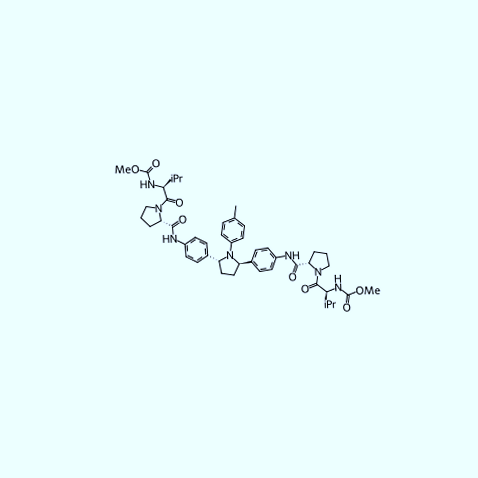 COC(=O)N[C@H](C(=O)N1CCC[C@H]1C(=O)Nc1ccc([C@H]2CC[C@H](c3ccc(NC(=O)[C@@H]4CCCN4C(=O)[C@@H](NC(=O)OC)C(C)C)cc3)N2c2ccc(C)cc2)cc1)C(C)C